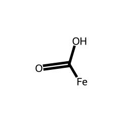 O=[C](O)[Fe]